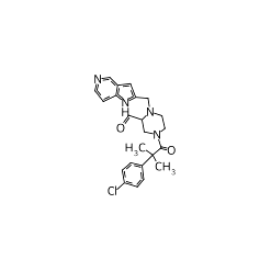 CC(C)(C(=O)N1CCN(Cc2cc3cnccc3[nH]2)C(C=O)C1)c1ccc(Cl)cc1